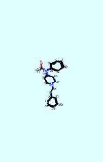 CCCC(=O)N(c1ccccc1)C1CCN(CCc2ccccc2)CC1